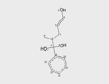 CC(CC=CO)C(O)(O)c1ccccc1